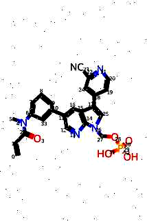 C=CC(=O)N(C)c1cccc(-c2cnc3c(c2)c(-c2ccnc(C#N)c2)cn3COP(=O)(O)O)c1